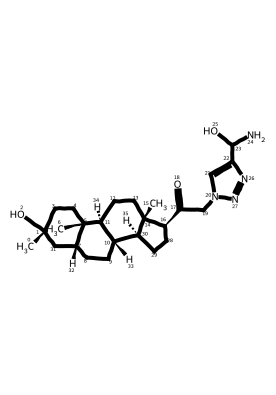 C[C@@]1(O)CC[C@@]2(C)[C@H](CC[C@@H]3[C@@H]2CC[C@]2(C)[C@@H](C(=O)Cn4cc(C(N)O)nn4)CC[C@@H]32)C1